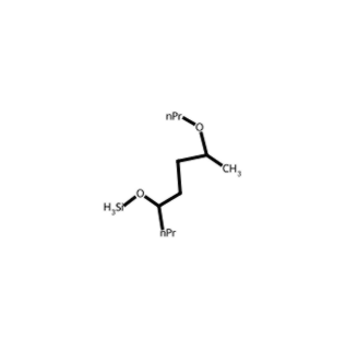 CCCOC(C)CCC(CCC)O[SiH3]